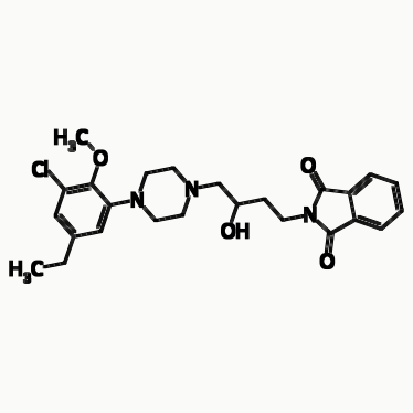 CCc1cc(Cl)c(OC)c(N2CCN(CC(O)CCN3C(=O)c4ccccc4C3=O)CC2)c1